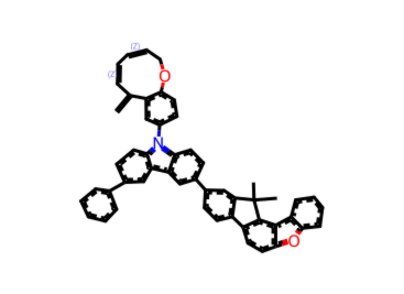 C=C1/C=C\C=C/COc2ccc(-n3c4ccc(-c5ccccc5)cc4c4cc(-c5ccc6c(c5)C(C)(C)c5c-6ccc6oc7ccccc7c56)ccc43)cc21